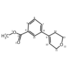 COC(=O)c1cccc(C2=CCOCC2)c1